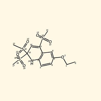 CCOc1ccc2c(c1)C(S(C)(=O)=O)=CC(S(C)(=O)=O)(S(C)(=O)=O)N2